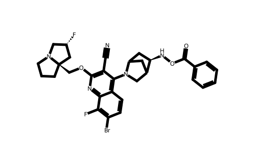 N#Cc1c(OC[C@@]23CCCN2C[C@H](F)C3)nc2c(F)c(Br)ccc2c1N1CC2CC1C[C@H]2NOC(=O)c1ccccc1